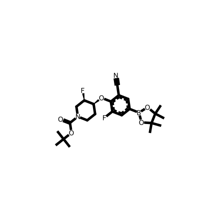 CC(C)(C)OC(=O)N1CC[C@H](Oc2c(F)cc(B3OC(C)(C)C(C)(C)O3)cc2C#N)[C@H](F)C1